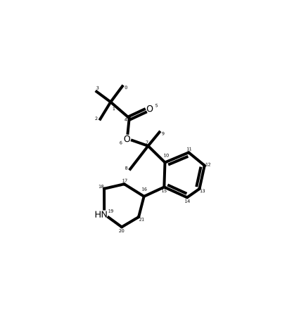 CC(C)(C)C(=O)OC(C)(C)c1ccccc1C1CCNCC1